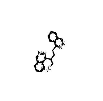 CC[C](CCc1nncc2ccccc12)c1nncc2ccccc12